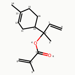 C=CC(C)(OC(=O)C(=C)C)C1CC=C(C)CC1